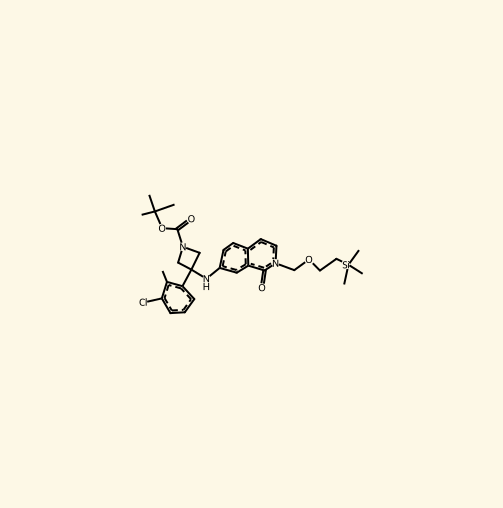 Cc1c(Cl)cccc1C1(Nc2ccc3ccn(COCC[Si](C)(C)C)c(=O)c3c2)CN(C(=O)OC(C)(C)C)C1